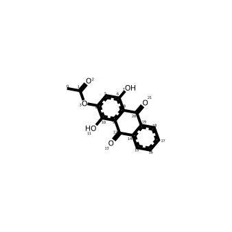 CC(=O)Oc1cc(O)c2c(c1O)C(=O)c1ccccc1C2=O